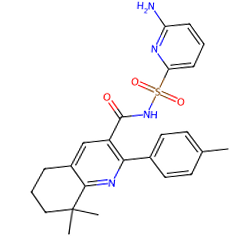 Cc1ccc(-c2nc3c(cc2C(=O)NS(=O)(=O)c2cccc(N)n2)CCCC3(C)C)cc1